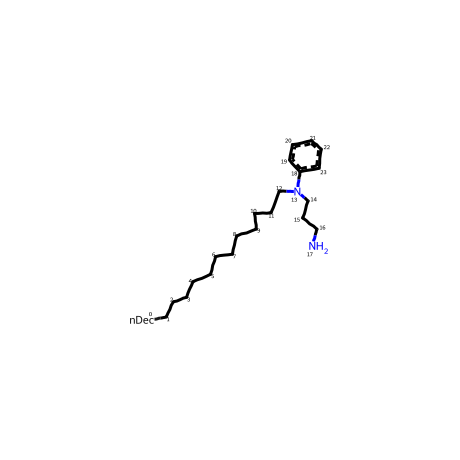 CCCCCCCCCCCCCCCCCCCCCCN(CCCN)c1ccccc1